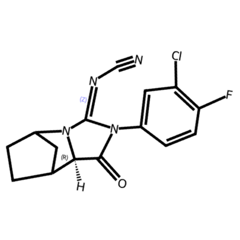 N#C/N=C1\N(c2ccc(F)c(Cl)c2)C(=O)[C@H]2C3CCC(C3)N12